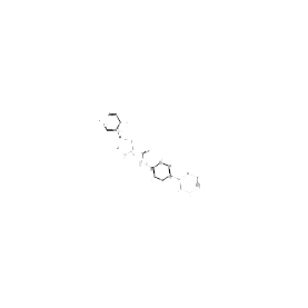 O=C(Nc1ccc(C2CCNCC2)cc1)[C@H]1CCN(c2ccnnc2)C1